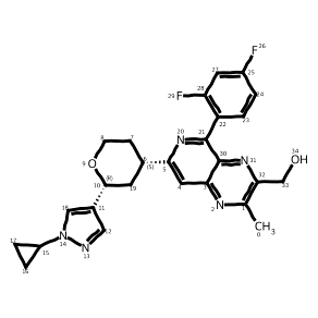 Cc1nc2cc([C@H]3CCO[C@@H](c4cnn(C5CC5)c4)C3)nc(-c3ccc(F)cc3F)c2nc1CO